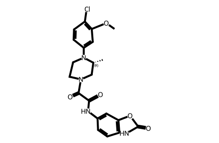 COc1cc(N2CCN(C(=O)C(=O)Nc3ccc4[nH]c(=O)oc4c3)C[C@H]2C)ccc1Cl